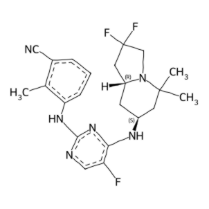 Cc1c(C#N)cccc1Nc1ncc(F)c(N[C@H]2C[C@@H]3CC(F)(F)CN3C(C)(C)C2)n1